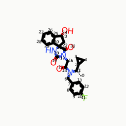 C[C@@H](C1CC1)N(Cc1ccc(F)cc1)C(=O)CN1C(=O)NC2(CC(O)c3ccccc32)C1=O